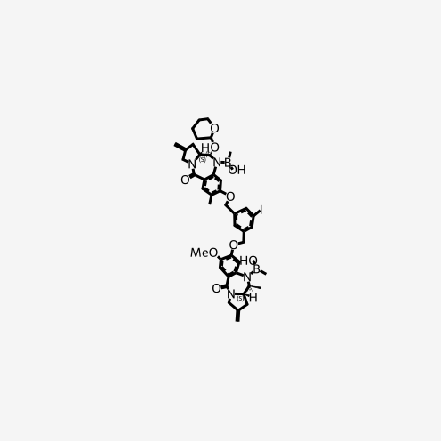 C=C1C[C@H]2[C@H](C)N(B(C)O)c3cc(OCc4cc(I)cc(COc5cc6c(cc5C)C(=O)N5CC(=C)C[C@H]5[C@H](OC5CCCCO5)N6B(C)O)c4)c(OC)cc3C(=O)N2C1